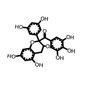 O=C(c1cc(O)c(O)c(O)c1)C1(c2cc(O)cc(O)c2)Oc2cc(O)cc(O)c2CC1O